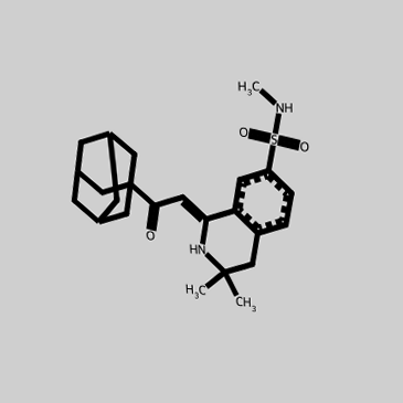 CNS(=O)(=O)c1ccc2c(c1)/C(=C/C(=O)C13CC4CC(CC(C4)C1)C3)NC(C)(C)C2